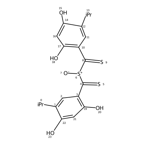 CC(C)c1cc(C(=S)[S+]([O-])C(=S)c2cc(C(C)C)c(O)cc2O)c(O)cc1O